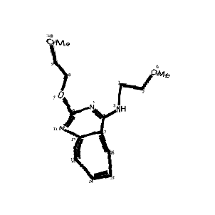 COCCNc1nc(OCCOC)nc2ccccc12